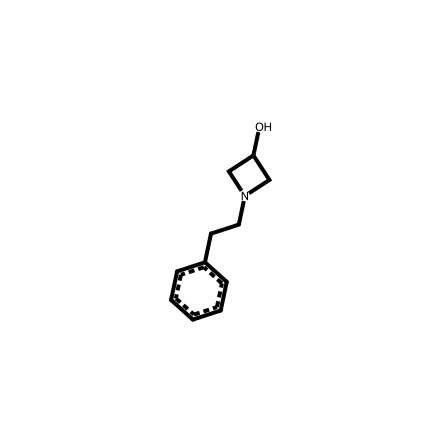 OC1CN(CCc2ccccc2)C1